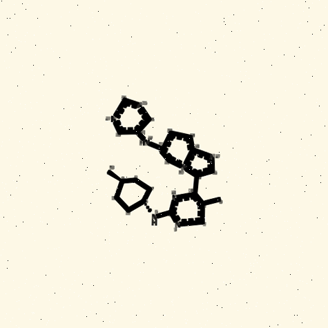 Cc1cnc(N[C@H]2CC[C@H](C)CC2)nc1-c1cnc2ccc(Nc3cncnc3)cn12